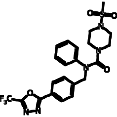 CS(=O)(=O)N1CCN(C(=O)N(Cc2ccc(-c3nnc(C(F)(F)F)o3)cc2)c2ccccc2)CC1